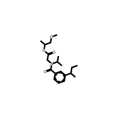 CCC(C)c1cccc(C(=O)N(CC(=O)OC(C)COC)C(C)C)c1